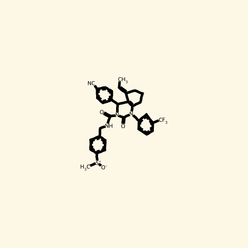 CC=C1CCCC2=C1C(c1ccc(C#N)cc1)N(C(=O)NCc1ccc([S+](C)[O-])cc1)C(=O)N2c1cccc(C(F)(F)F)c1